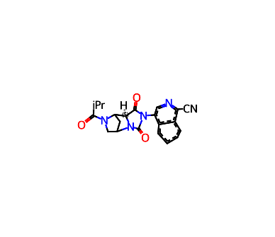 CC(C)C(=O)N1CC2CC1[C@H]1C(=O)N(c3cnc(C#N)c4ccccc34)C(=O)N21